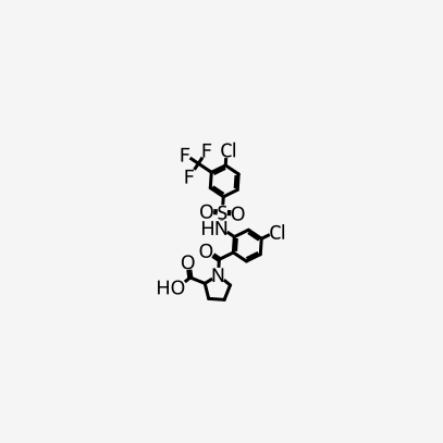 O=C(O)C1CCCN1C(=O)c1ccc(Cl)cc1NS(=O)(=O)c1ccc(Cl)c(C(F)(F)F)c1